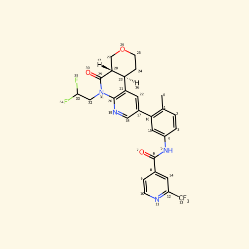 Cc1ccc(NC(=O)c2ccnc(C(F)(F)F)c2)cc1-c1cnc2c(c1)[C@@H]1CCOC[C@H]1C(=O)N2CC(F)F